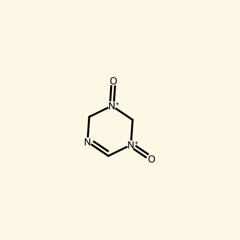 O=[N+]1C=NC[N+](=O)C1